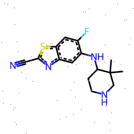 CC1(C)CNCCC1Nc1cc2nc(C#N)sc2cc1F